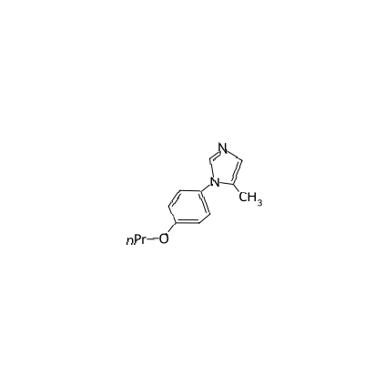 CCCOc1ccc(-n2cncc2C)cc1